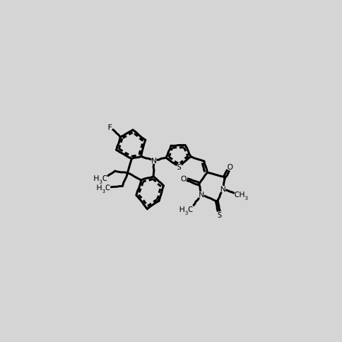 CCC1(CC)c2ccccc2N(c2ccc(C=C3C(=O)N(C)C(=S)N(C)C3=O)s2)c2ccc(F)cc21